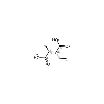 CC[C@@H](C(=O)O)[C@H](C)C(=O)O